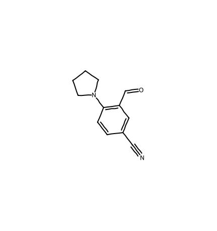 N#Cc1ccc(N2CCCC2)c(C=O)c1